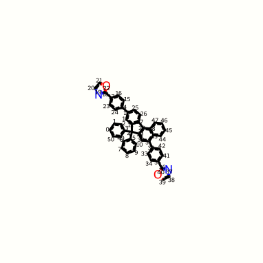 c1ccc(C2(c3ccccc3)c3cc(-c4ccc(-c5ncco5)cc4)ccc3-c3c2cc(-c2ccc(-c4ncco4)cc2)c2ccccc32)cc1